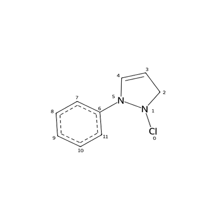 ClN1CC=CN1c1ccccc1